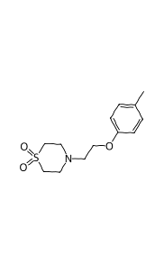 Cc1ccc(OCCN2CCS(=O)(=O)CC2)cc1